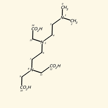 CN(C)CCN(CCN(CC(=O)O)CC(=O)O)CC(=O)O